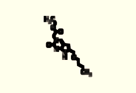 CCCCOCc1cc2cn(CC(=O)OCC)c(=O)nc2[nH]1